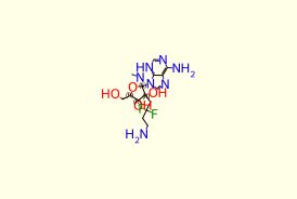 CN[C@@]1(n2cnc3c(N)ncnc32)O[C@H](CO)[C@@H](O)[C@]1(O)CC(F)(F)CCN